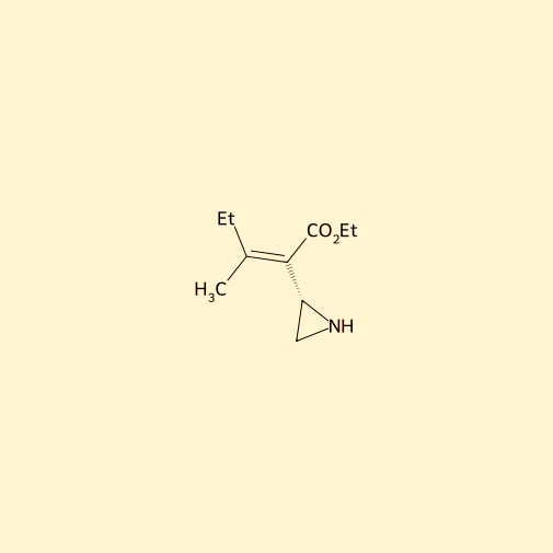 CCOC(=O)/C(=C(/C)CC)[C@H]1CN1